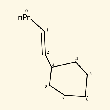 CCC/C=C/C1CC[CH]CC1